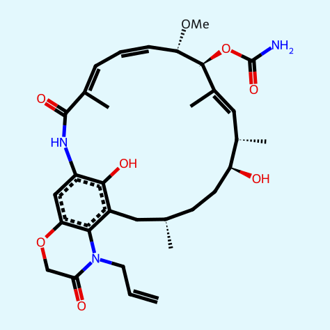 C=CCN1C(=O)COc2cc3c(O)c(c21)C[C@@H](C)CC[C@H](O)[C@@H](C)/C=C(\C)[C@H](OC(N)=O)[C@@H](OC)/C=C\C=C(/C)C(=O)N3